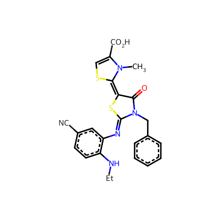 CCNc1ccc(C#N)cc1N=C1SC(=C2SC=C(C(=O)O)N2C)C(=O)N1Cc1ccccc1